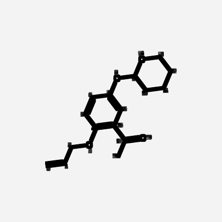 C=CCOc1ccc(OC2CCCCO2)cc1C(C)=O